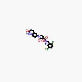 O=C1CCc2cc(N3CCC(O)(C(=O)NCc4cc(Cl)ccc4F)C3=O)ccc2N1